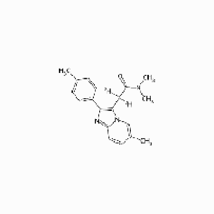 [2H]C([2H])(C(=O)N(C)C)c1c(-c2ccc(C)cc2)nc2ccc(C)cn12